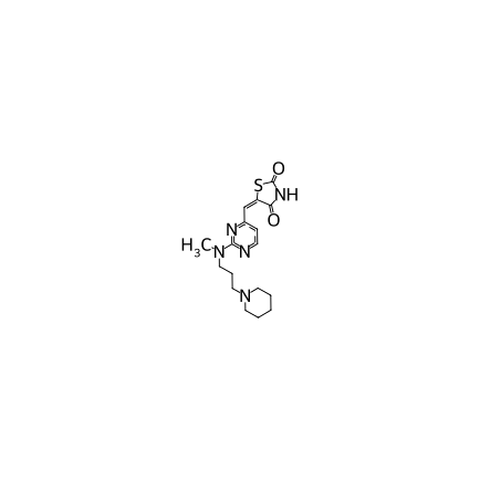 CN(CCCN1CCCCC1)c1nccc(C=C2SC(=O)NC2=O)n1